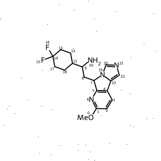 COc1ccc2c(n1)C(CC(N)C1CCC(F)(F)CC1)n1cncc1-2